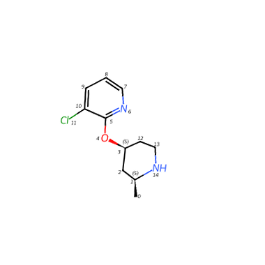 C[C@H]1C[C@@H](Oc2ncccc2Cl)CCN1